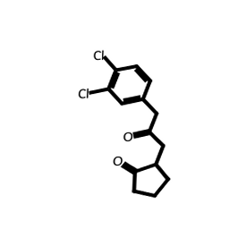 O=C(Cc1ccc(Cl)c(Cl)c1)CC1CCCC1=O